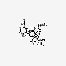 BC(B)(B)N=S1(=O)C[C@@](C)(c2cc(C#C)ccc2F)N=C(NC(=O)OC(C)(C)C)C1(C)C